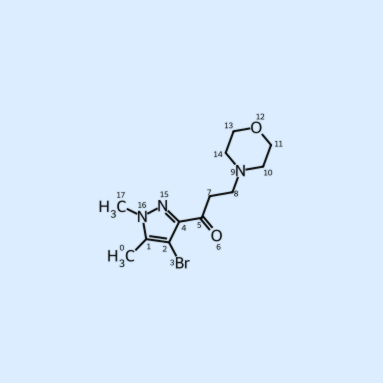 Cc1c(Br)c(C(=O)CCN2CCOCC2)nn1C